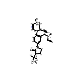 C=CN(C)Cc1cc(N2CCC(C(C)(C)N)C2=O)ccc1N(/C=C\NC)C(C)C#N